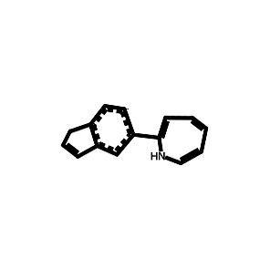 [c]1cc2c(cc1C1=CC=CC=CN1)C=CC2